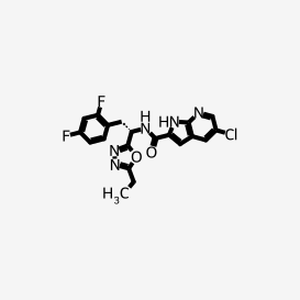 CCc1nnc([C@H](Cc2ccc(F)cc2F)NC(=O)c2cc3cc(Cl)cnc3[nH]2)o1